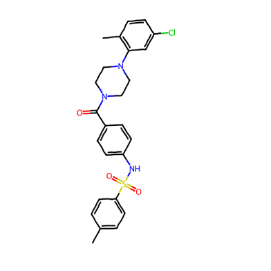 Cc1ccc(S(=O)(=O)Nc2ccc(C(=O)N3CCN(c4cc(Cl)ccc4C)CC3)cc2)cc1